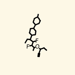 C#CC(CC)OC(C)C(F)C(F)C(CC)C1CCC(C2CCC(C)CC2)CC1